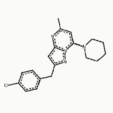 Cc1cc(N2C[CH]CCC2)n2nc(Cc3ccc(Cl)cc3)cc2n1